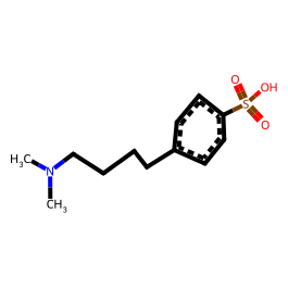 CN(C)CCCCc1ccc(S(=O)(=O)O)cc1